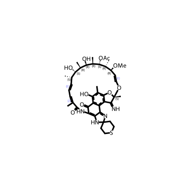 CO[C@H]1/C=C/O[C@@]2(C)Oc3c(C)c(O)c4c(c3C2=N)C2=NC3(CCSCC3)NC2=C(NC(=O)/C(C)=C\C=C\[C@H](C)[C@H](O)[C@@H](C)[C@@H](O)[C@@H](C)[C@H](OC(C)=O)[C@@H]1C)C4=O